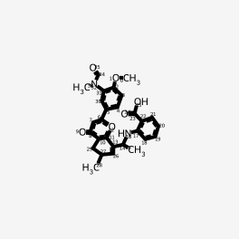 COc1ccc(-c2cc(=O)c3c(o2)C(C(C)Nc2ccccc2C(=O)O)=CC(C)C3)cc1N(C)C=O